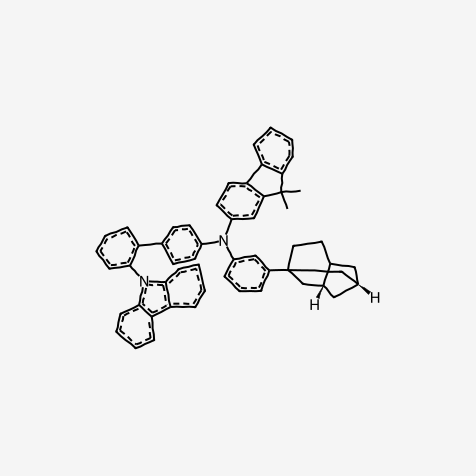 CC1(C)c2ccccc2-c2ccc(N(c3ccc(-c4ccccc4-n4c5ccccc5c5ccccc54)cc3)c3cccc(C45CCC6C[C@H](C[C@@H]6C4)C5)c3)cc21